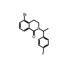 CC(c1ccc(F)cc1)N1CCc2c(Br)cccc2C1=O